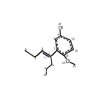 CC/C=C(\CCC)c1cc(Cl)ccc1OC